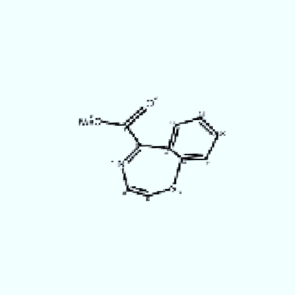 COC(=O)C1=NC=CSc2ccccc21